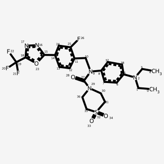 CCN(CC)c1ccc(N(Cc2ccc(-c3nnc(C(F)(F)F)o3)cc2F)C(=O)N2CCS(=O)(=O)CC2)cc1